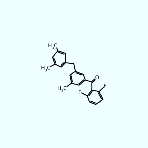 Cc1cc(C)cc(Cc2cc(C)cc(C(=O)c3c(F)cccc3F)c2)c1